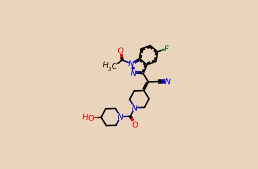 CC(=O)n1nc(C(C#N)=C2CCN(C(=O)N3CCC(O)CC3)CC2)c2cc(F)ccc21